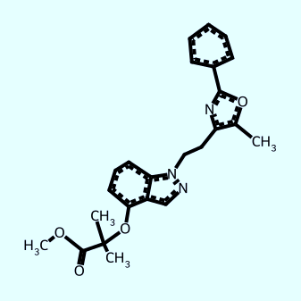 COC(=O)C(C)(C)Oc1cccc2c1cnn2CCc1nc(-c2ccccc2)oc1C